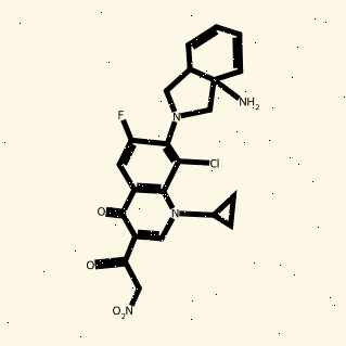 NC12C=CC=CC1CN(c1c(F)cc3c(=O)c(C(=O)C[N+](=O)[O-])cn(C4CC4)c3c1Cl)C2